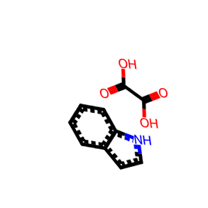 O=C(O)C(=O)O.c1ccc2[nH]ccc2c1